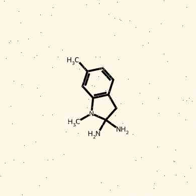 Cc1ccc2c(c1)N(C)C(N)(N)C2